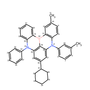 Cc1cccc(N2c3ccc(C)cc3B3c4ccccc4N(c4ccccc4)c4cc(C5CCCCC5)cc2c43)c1